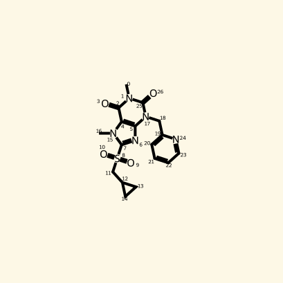 Cn1c(=O)c2c(nc(S(=O)(=O)CC3CC3)n2C)n(Cc2ccccn2)c1=O